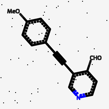 COc1ccc(C#Cc2cnccc2C=O)cc1